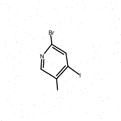 Cc1cnc(Br)cc1I